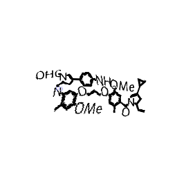 C=CC1CC(C2CC2)=CN1C(=O)c1cc(OC)c(OCCCOc2cc(/N=C\C3CC(c4ccc(N)cc4)=CN3C=O)c(C)cc2OC)cc1C